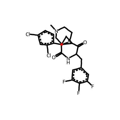 CN1CCN(C(=O)C(Cc2cc(F)c(F)c(F)c2)NC(=O)C2(c3ccc(Cl)cc3Cl)CC2)CC1